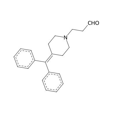 O=CCCN1CCC(=C(c2ccccc2)c2ccccc2)CC1